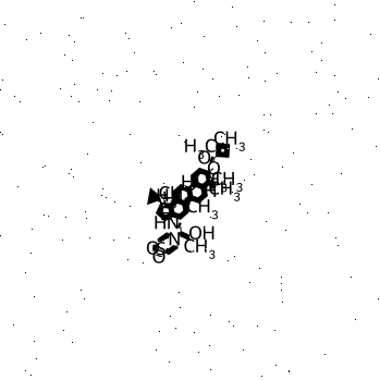 C[C@@H](O)[C@@H](CN[C@]12CC[C@@H](C3(C)CC3)[C@@H]1[C@H]1CC[C@@H]3[C@@]4(C)CC[C@H](OC(=O)[C@H]5CCC5(C)C)C(C)(C)[C@@H]4CC[C@@]3(C)[C@]1(C)CC2)N1CCS(=O)(=O)CC1